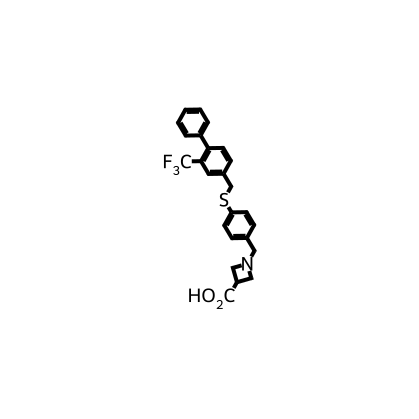 O=C(O)C1CN(Cc2ccc(SCc3ccc(-c4ccccc4)c(C(F)(F)F)c3)cc2)C1